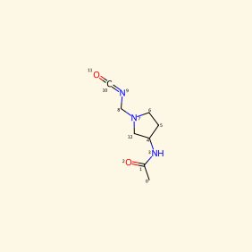 CC(=O)NC1CCN(CN=C=O)C1